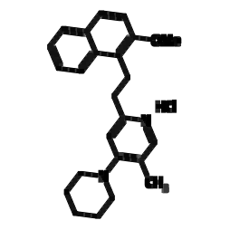 COc1ccc2ccccc2c1CCc1cc(N2CCCCC2)c(C)cn1.Cl